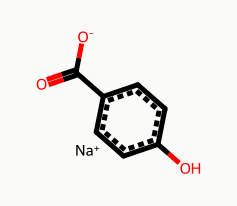 O=C([O-])c1ccc(O)cc1.[Na+]